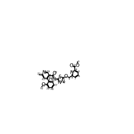 COC(=O)c1cccc(COc2nnc(NC(=O)c3cnc(C)cc3-c3ccccc3OC)s2)n1